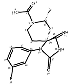 C[C@@H]1C[C@]2(CCN1C(=O)O)C(=N)NC(=O)N2c1cccc(F)c1